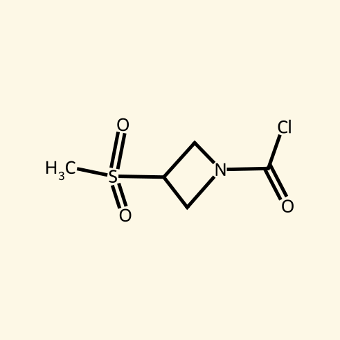 CS(=O)(=O)C1CN(C(=O)Cl)C1